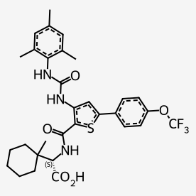 Cc1cc(C)c(NC(=O)Nc2cc(-c3ccc(OC(F)(F)F)cc3)sc2C(=O)N[C@H](C(=O)O)C2(C)CCCCC2)c(C)c1